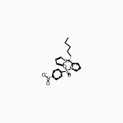 CCCCC[C@H](c1cccn1S(=O)(=O)c1ccc([N+](=O)[O-])cc1)[SH]1C=CC=C1